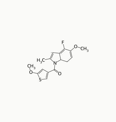 COC1=CCC2C(=C1F)[C]=C(C)N2C(=O)c1csc(OC)c1